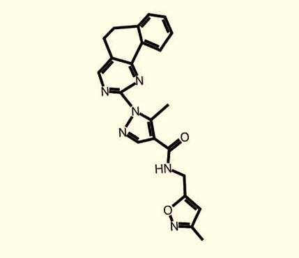 Cc1cc(CNC(=O)c2cnn(-c3ncc4c(n3)-c3ccccc3CC4)c2C)on1